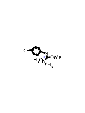 CO/C(=N/c1ccc(Cl)cc1)N(C)C